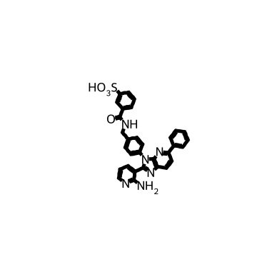 Nc1ncccc1-c1nc2ccc(-c3ccccc3)nc2n1-c1ccc(CNC(=O)c2cccc(S(=O)(=O)O)c2)cc1